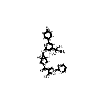 CCc1nn(-c2ncccn2)cc1C(=O)N1C[C@@H]2C(Oc3cc(C(C)(C)N)cc(-c4ccc(F)cc4)n3)[C@@H]2C1